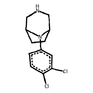 Clc1ccc(N2C3CCC2CNC3)cc1Cl